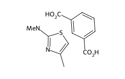 CNc1nc(C)cs1.O=C(O)c1cccc(C(=O)O)c1